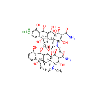 CN(C)[C@@H]1C(O)=C(C(N)=O)C(=O)[C@@]2(O)C(O)=C3C(=O)c4c(O)cccc4[C@@](C)(O)[C@H]3C[C@@H]12.CN(C)[C@@H]1C(O)=C(C(N)=O)C(=O)[C@@]2(O)C(O)=C3C(=O)c4c(O)cccc4[C@@](C)(O)[C@H]3C[C@@H]12.Cl.Cl